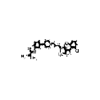 Cc1onc(-c2c(Cl)cccc2Cl)c1C(=O)NCCCN1CCC(c2cccc(NC(=O)C(C)C)c2)CC1